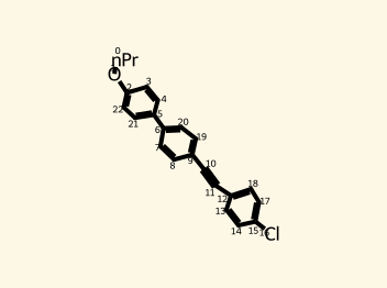 CCCOc1ccc(-c2ccc(C#Cc3ccc(Cl)cc3)cc2)cc1